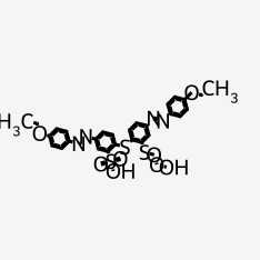 CCOc1ccc(/N=N/c2ccc(Sc3ccc(/N=N/c4ccc(OCC)cc4)cc3S(=O)(=O)O)c(SOOO)c2)cc1